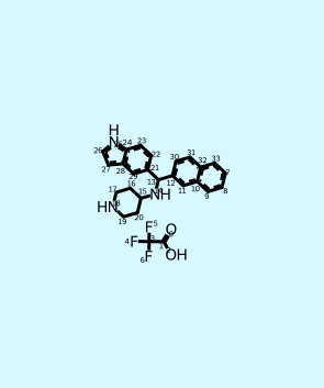 O=C(O)C(F)(F)F.c1ccc2cc(C(NC3CCNCC3)c3ccc4[nH]ccc4c3)ccc2c1